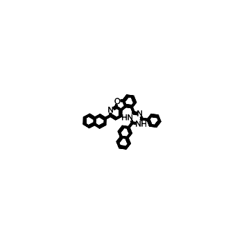 c1ccc(C2N=C(c3cccc4oc5nc(-c6ccc7ccccc7c6)ccc5c34)NC(c3ccc4ccccc4c3)N2)cc1